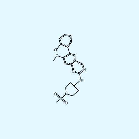 COc1cc2nc(NC3CCN(S(C)(=O)=O)CC3)ncc2cc1-c1ccccc1Cl